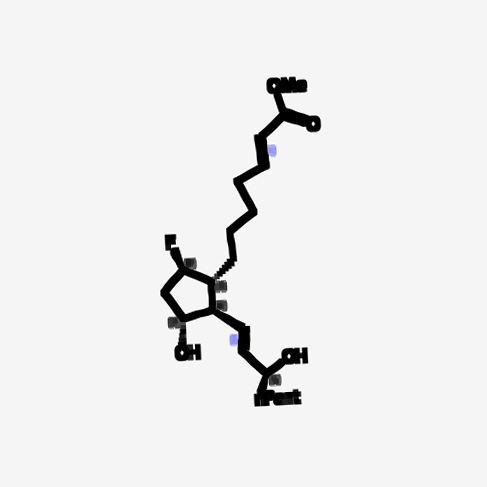 CCCCC[C@H](O)/C=C/[C@@H]1[C@@H](CCCC/C=C/C(=O)OC)[C@H](F)C[C@H]1O